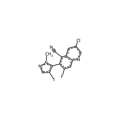 Cn1ncc(I)c1-c1c(F)cc2ncc(Cl)cc2c1C#N